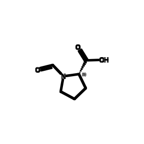 O=CN1CCC[C@H]1C(=O)O